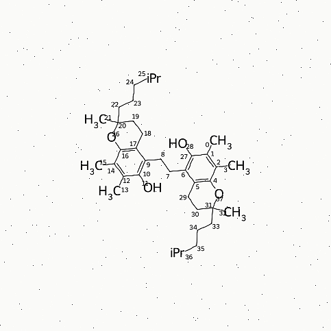 Cc1c(C)c2c(c(CCc3c(O)c(C)c(C)c4c3CCC(C)(CCCC(C)C)O4)c1O)CCC(C)(CCCC(C)C)O2